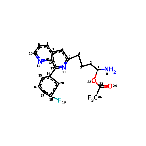 NC(CCCc1cc2cccnc2c(-c2cccc(F)c2)n1)OC(=O)C(F)(F)F